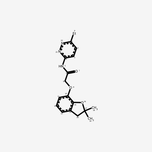 CCc1ccc(NC(=O)COc2cccc3c2OC(C)(C)C3)nn1